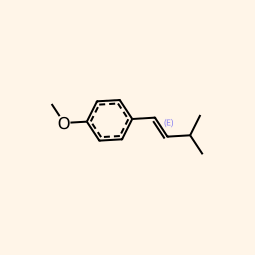 COc1ccc(/C=C/C(C)C)cc1